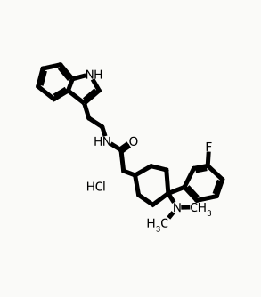 CN(C)C1(c2cccc(F)c2)CCC(CC(=O)NCCc2c[nH]c3ccccc23)CC1.Cl